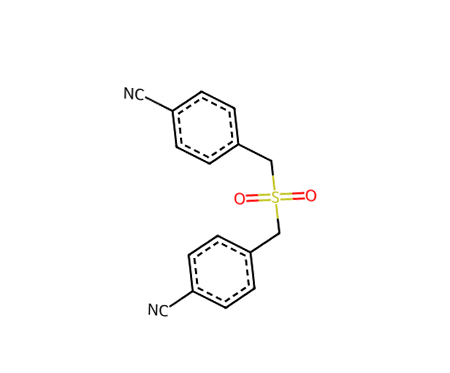 N#Cc1ccc(CS(=O)(=O)Cc2ccc(C#N)cc2)cc1